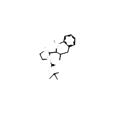 CC1Cc2ccccc2N(C)C1C1=NCCN1C(=O)OC(C)(C)C